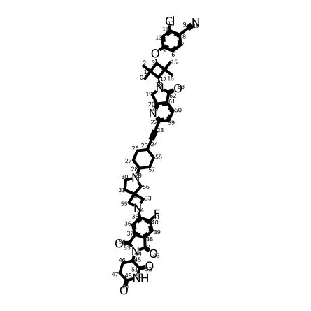 CC1(C)[C@H](Oc2ccc(C#N)c(Cl)c2)C(C)(C)[C@H]1N1Cc2nc(C#CC3CCC(N4CCC5(CN(c6cc7c(cc6F)C(=O)N(C6CCC(=O)NC6=O)C7=O)C5)C4)CC3)ccc2C1=O